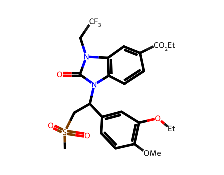 CCOC(=O)c1ccc2c(c1)n(CC(F)(F)F)c(=O)n2C(CS(C)(=O)=O)c1ccc(OC)c(OCC)c1